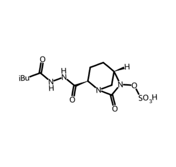 CCC(C)C(=O)NNC(=O)[C@H]1CC[C@H]2CN1C(=O)N2OS(=O)(=O)O